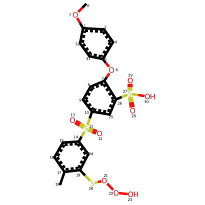 COc1ccc(Oc2ccc(S(=O)(=O)c3ccc(C)c(SOOO)c3)cc2S(=O)(=O)O)cc1